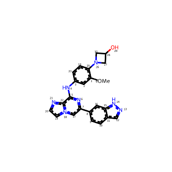 COc1cc(Nc2nc(-c3ccc4cn[nH]c4c3)cn3ccnc23)ccc1N1CC(O)C1